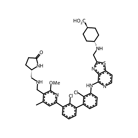 COc1nc(-c2cccc(-c3cccc(Nc4nccc5sc(CN[C@H]6CC[C@H](C(=O)O)CC6)nc45)c3Cl)c2Cl)cc(C)c1CNC[C@@H]1CCC(=O)N1